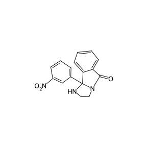 O=C1c2ccccc2C2(c3cccc([N+](=O)[O-])c3)NCCN12